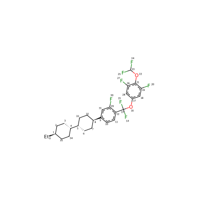 CC[C@H]1CC[C@H]([C@H]2CC[C@H](c3ccc(C(F)(F)Oc4cc(F)c(OC(F)F)c(F)c4)c(F)c3)CC2)CC1